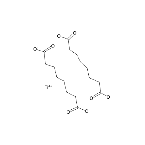 O=C([O-])CCCCCCC(=O)[O-].O=C([O-])CCCCCCC(=O)[O-].[Ti+4]